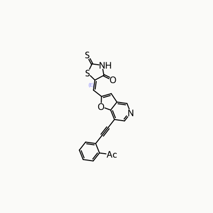 CC(=O)c1ccccc1C#Cc1cncc2cc(/C=C3/SC(=S)NC3=O)oc12